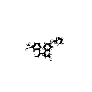 CCC(c1cccc([N+](=O)[O-])c1)c1cc(=O)oc2cc(Oc3nccs3)ccc12